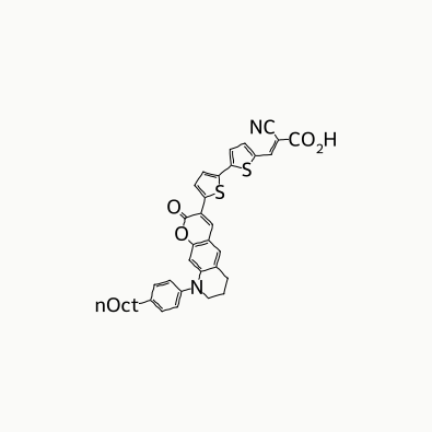 CCCCCCCCc1ccc(N2CCCc3cc4cc(-c5ccc(-c6ccc(/C=C(\C#N)C(=O)O)s6)s5)c(=O)oc4cc32)cc1